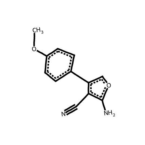 COc1ccc(-c2coc(N)c2C#N)cc1